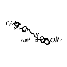 COc1ccc2cc(C(=O)NCCCCN3CCC(Nc4cccc(C(F)(F)F)c4)CC3)oc2c1.Cl.Cl